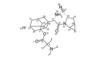 CN(C)C(C)(C)C(=O)OC12CC3C[C@H](C1)CC([C@H](N)C(=O)N1C4CC4C[C@H]1C#N)(C3)C2